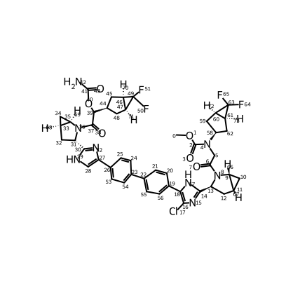 COC(=O)N(CC(=O)N1[C@@H]2C[C@@H]2C[C@H]1c1nc(Cl)c(-c2ccc(-c3ccc(-c4c[nH]c([C@@H]5C[C@H]6C[C@H]6N5C(=O)C(OC(N)=O)[C@H]5C[C@@H]6[C@H](C5)C6(F)F)n4)cc3)cc2)[nH]1)[C@H]1C[C@@H]2[C@H](C1)C2(F)F